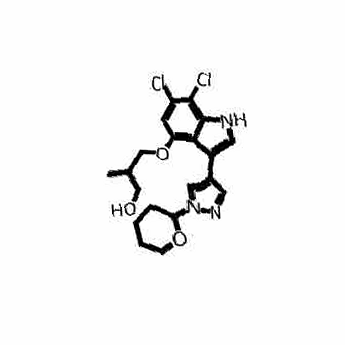 CC(CO)COc1cc(Cl)c(Cl)c2[nH]cc(-c3cnn(C4CCCCO4)c3)c12